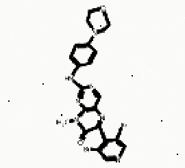 Cn1c(=O)c(-c2c(Br)cncc2Br)nc2cnc(Nc3ccc(N4CCOCC4)cc3)nc21